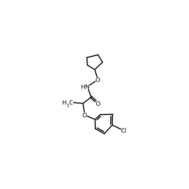 CC(Oc1ccc(Cl)cc1)C(=O)NOC1CCCC1